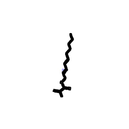 C=C(C)C(=O)OC/C=C/C=CCCCCC